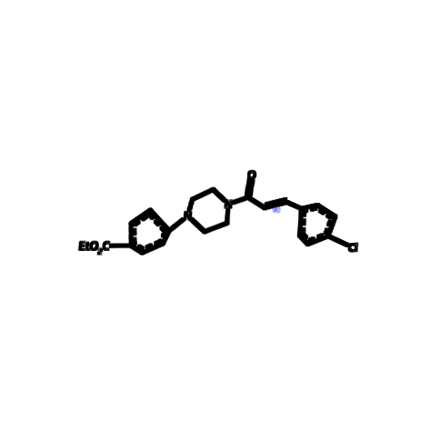 CCOC(=O)c1ccc(N2CCN(C(=O)/C=C/c3ccc(Cl)cc3)CC2)cc1